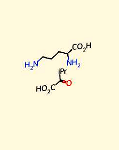 CC(C)C(=O)C(=O)O.NCCC[C@H](N)C(=O)O